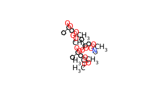 CC(Oc1ccc2c(-c3ccccc3)cc(=O)oc2c1)C(=O)N1CCCC1.CCOC(=O)C(C)(C)Oc1ccc2c(-c3ccccc3)cc(=O)oc2c1.CCOC(=O)[C@@H](C)Oc1ccc2c(-c3ccccc3)cc(=O)oc2c1